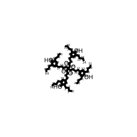 CCCCc1cc(CCC(=O)CC(CC(=O)CCc2cc(CCCC)c(O)c(CCCC)c2)(CC(=O)CCc2cc(CCCC)c(O)c(CCCC)c2)CC(=O)CCc2cc(CCCC)c(O)c(CCCC)c2)cc(CCCC)c1O